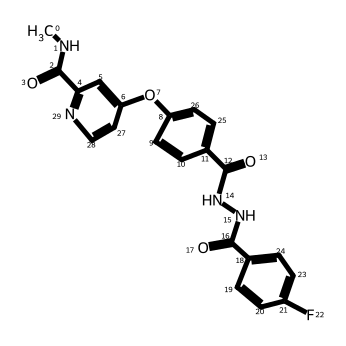 CNC(=O)c1cc(Oc2ccc(C(=O)NNC(=O)c3ccc(F)cc3)cc2)ccn1